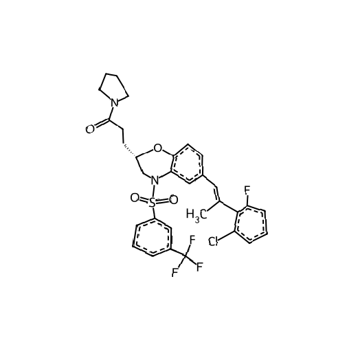 CC(=Cc1ccc2c(c1)N(S(=O)(=O)c1cccc(C(F)(F)F)c1)C[C@H](CCC(=O)N1CCCC1)O2)c1c(F)cccc1Cl